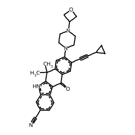 CC1(C)c2cc(N3CCN(C4COC4)CC3)c(C#CC3CC3)cc2C(=O)c2c1[nH]c1cc(C#N)ccc21